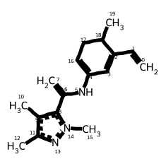 C=CC1=CC(NC(=C)c2c(C)c(C)nn2C)=CCC1C